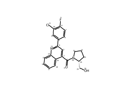 O=C(c1cc(-c2ccc(F)c(Cl)c2)nc2ccccc12)N1CCC[C@@H]1CO